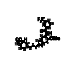 COC1CC2=C=C(CCCN3CCC(CC(=O)O)CC3)C=C2C=C1NC(=O)c1cccc(C(F)(F)F)n1